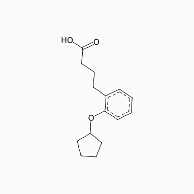 O=C(O)CCCc1ccccc1OC1CCCC1